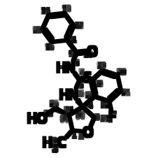 CC1OC[C@@](NC(=S)NC(=O)c2ccccc2)(c2ccccc2F)[C@@H]1CO